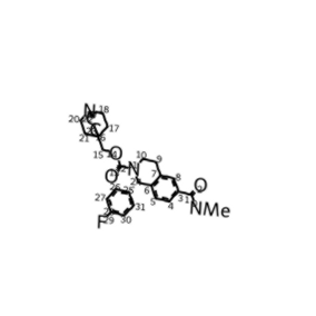 CNC(=O)c1ccc2c(c1)CCN(C(=O)OCC13CCN(CC1)CC3)[C@H]2c1ccc(F)cc1